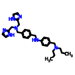 CCCN(CCC)Cc1ccc(NCc2ccc(CN(Cc3ncc[nH]3)Cc3ncc[nH]3)cc2)cc1